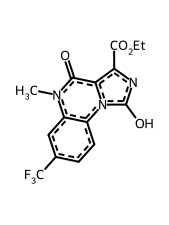 CCOC(=O)c1nc(O)n2c1c(=O)n(C)c1cc(C(F)(F)F)ccc12